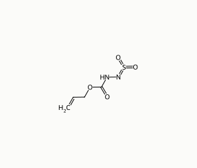 C=CCOC(=O)NN=S(=O)=O